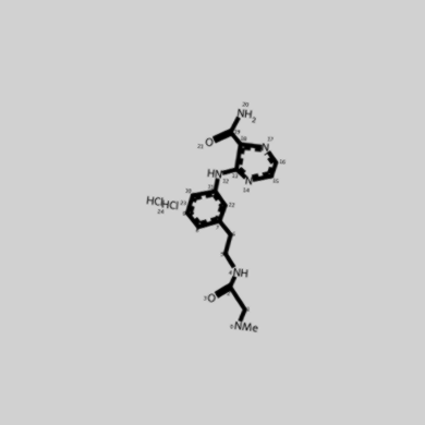 CNCC(=O)NCCc1cccc(Nc2nccnc2C(N)=O)c1.Cl.Cl